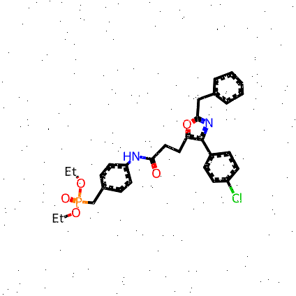 CCOP(=O)(Cc1ccc(NC(=O)CCc2oc(Cc3ccccc3)nc2-c2ccc(Cl)cc2)cc1)OCC